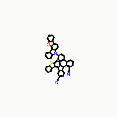 N#Cc1ccc2c(c1)-c1c(ccc3sc4ccccc4c13)C2c1c(C#N)cccc1-c1ccc(-n2c3ccccc3c3c4oc5ccccc5c4ccc32)cc1